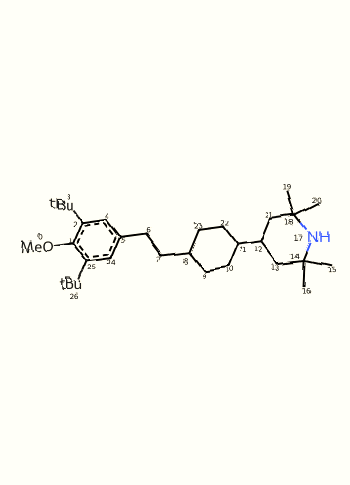 COc1c(C(C)(C)C)cc(CCC2CCC(C3CC(C)(C)NC(C)(C)C3)CC2)cc1C(C)(C)C